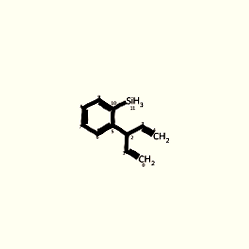 C=CC(C=C)c1ccccc1[SiH3]